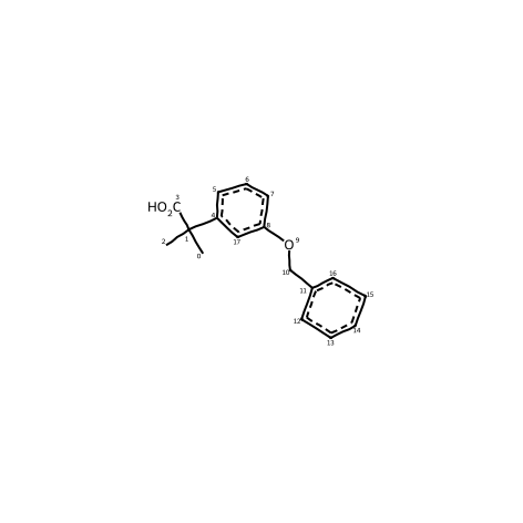 CC(C)(C(=O)O)c1cccc(OCc2ccccc2)c1